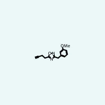 C#CCCc1nc(Cc2cccc(OC)c2)no1